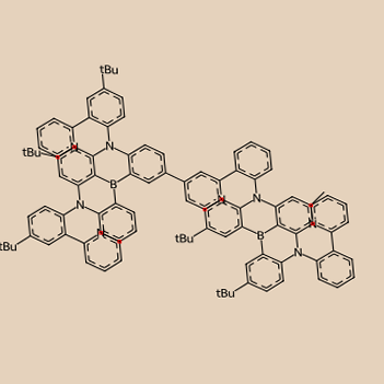 Cc1cc2c3c(c1)N(c1ccccc1-c1cc(-c4ccc5c(c4)B4c6ccccc6N(c6ccc(C(C)(C)C)cc6-c6ccccn6)c6cc(C(C)(C)C)cc(c64)N5c4ccc(C(C)(C)C)cc4-c4ccccn4)ccn1)c1ccc(C(C)(C)C)cc1B3c1cc(C(C)(C)C)ccc1N2c1ccccc1-c1ccccn1